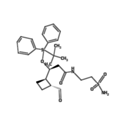 CC(C)(C)[Si](O[C@@H](CC(=O)NCCS(N)(=O)=O)[C@@H]1CC[C@H]1C=O)(c1ccccc1)c1ccccc1